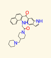 O=C(c1ccc2cc[nH]c2c1)c1ccc2ccccc2c1NCC(=O)N1CCC(CN2CCCCC2)CC1